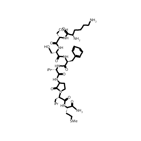 CSCC[C@H](NC(=O)[C@H](CC(C)C)N1CCC(NC(=O)[C@@H](NC(=O)[C@H](Cc2ccccc2)NC(=O)[C@H](CO)NC(=O)[C@H](CC(=O)O)NC(=O)[C@@H](N)CCCCN)C(C)C)C1=O)C(N)=O